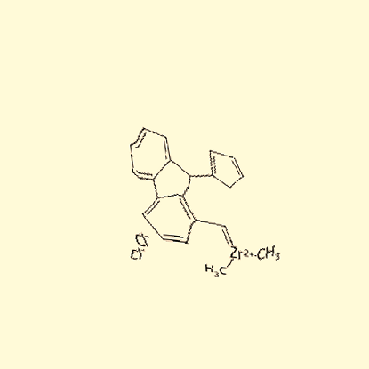 [CH3][Zr+2]([CH3])=[CH]c1cccc2c1C(C1=CC=CC1)c1ccccc1-2.[Cl-].[Cl-]